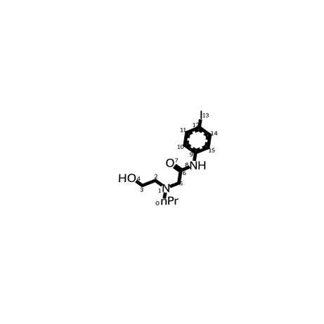 CCCN(CCO)CC(=O)Nc1ccc(I)cc1